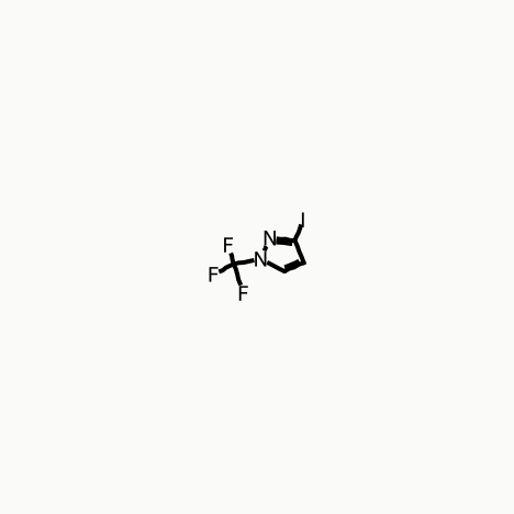 FC(F)(F)n1ccc(I)n1